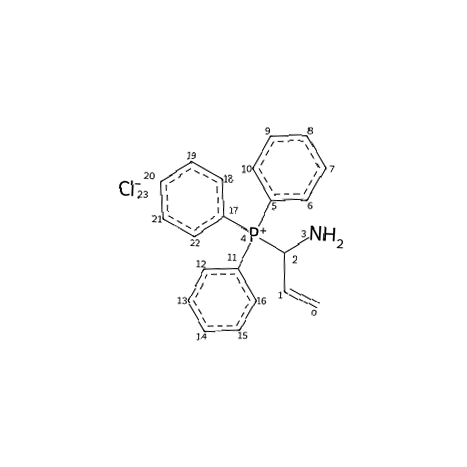 C=CC(N)[P+](c1ccccc1)(c1ccccc1)c1ccccc1.[Cl-]